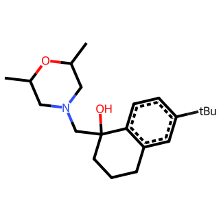 CC1CN(CC2(O)CCCc3cc(C(C)(C)C)ccc32)CC(C)O1